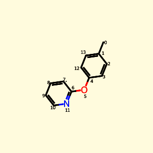 Cc1ccc(Oc2[c]cccn2)cc1